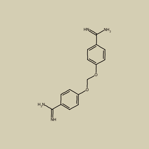 N=C(N)c1ccc(OCOc2ccc(C(=N)N)cc2)cc1